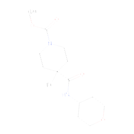 CCC1(C(=O)NC2CCOCC2)CCN(C(=O)OC(C)(C)C)CC1